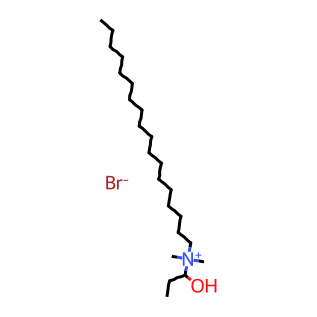 CCCCCCCCCCCCCCCCCC[N+](C)(C)C(O)CC.[Br-]